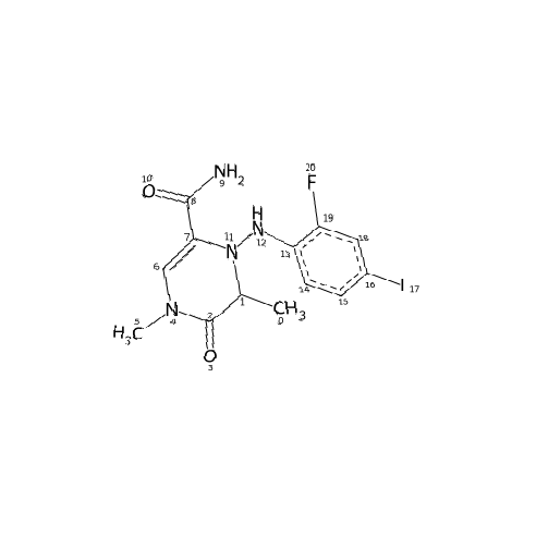 CC1C(=O)N(C)C=C(C(N)=O)N1Nc1ccc(I)cc1F